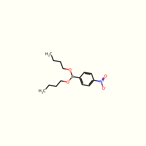 CCCCOB(OCCCC)c1ccc([N+](=O)[O-])cc1